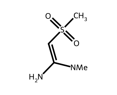 CN/C(N)=C\S(C)(=O)=O